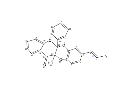 C/C=C/c1ccc2c(c1)OC1(c3ccccc3)Oc3ccccc3C(=O)C1(O)O2